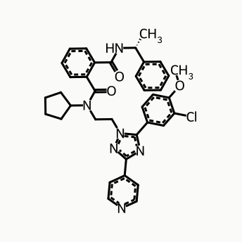 COc1ccc(-c2nc(-c3ccncc3)nn2CCN(C(=O)c2ccccc2C(=O)N[C@H](C)c2ccccc2)C2CCCC2)cc1Cl